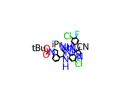 CC(C)N/C=C(\N)C(Nc1cc(Cl)c2ncc(C#N)c(Nc3ccc(F)c(Cl)c3)c2c1)c1cccc2c1CCN2C(=O)OC(C)(C)C